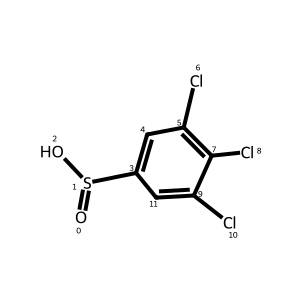 O=S(O)c1cc(Cl)c(Cl)c(Cl)c1